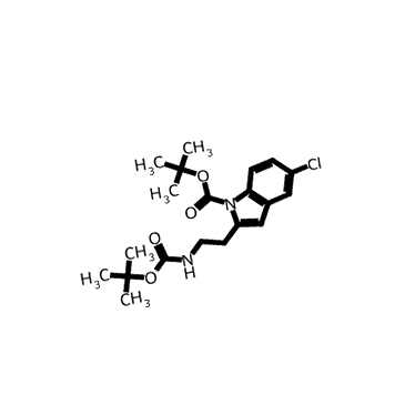 CC(C)(C)OC(=O)NCCc1cc2cc(Cl)ccc2n1C(=O)OC(C)(C)C